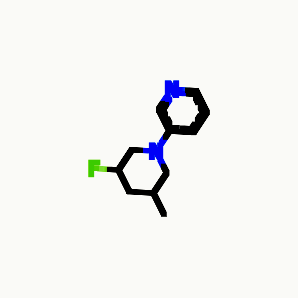 CC1CC(F)CN(c2cccnc2)C1